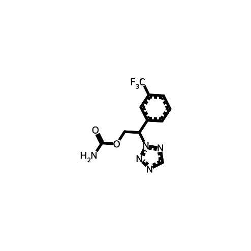 NC(=O)OCC(c1cccc(C(F)(F)F)c1)n1ncnn1